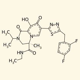 CCNC(=O)[C@@]1(C)CN(C(C)C)C(=O)c2c(O)c(=O)c(-c3nnc(Cc4ccc(F)cc4F)s3)cn21